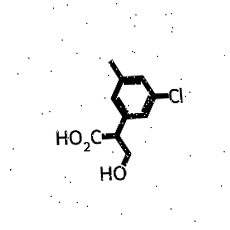 Cc1cc(Cl)cc(C(CO)C(=O)O)c1